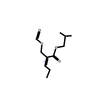 CC/C=C(/CO[C]=O)C(=O)OCC(C)C